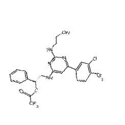 O=C(O[C@@H](CNc1cc(-c2ccc(C(F)(F)F)c(Cl)c2)nc(NCCO)n1)c1ccccc1)C(F)(F)F